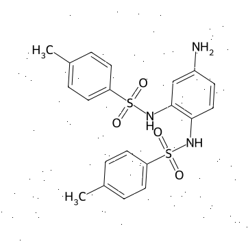 Cc1ccc(S(=O)(=O)Nc2ccc(N)cc2NS(=O)(=O)c2ccc(C)cc2)cc1